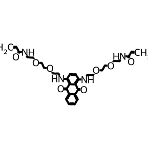 C=CC(=O)NCCOCCOCCNc1ccc(NCCOCCOCCNC(=O)C=C)c2c1C(=O)c1ccccc1C2=O